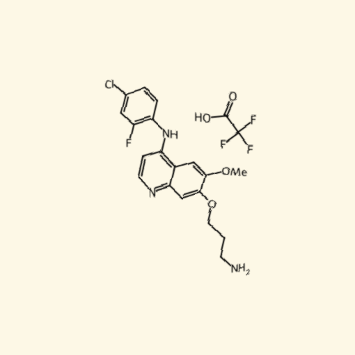 COc1cc2c(Nc3ccc(Cl)cc3F)ccnc2cc1OCCCN.O=C(O)C(F)(F)F